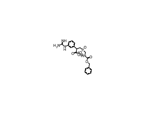 N=C(N)Nc1cccc(C(CP(=O)(O)CNC(=O)OCc2ccccc2)C(=O)O)c1